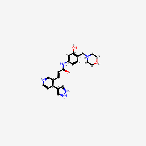 O=C(/C=C/c1cnccc1-c1cn[nH]c1)Nc1ccc(CN2CCOCC2)c(O)c1